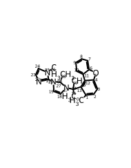 Cc1ccc2oc3ccccc3c2c1C(C)(C)N1C=CN(c2nccn2C)[C@H]1C